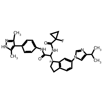 Cc1n[nH]c(C)c1-c1ccc(NC(=O)C(NC(=O)C2(F)CC2)[C@@H]2CCc3ccc(-n4cnc(C(C)C)c4)cc32)cc1